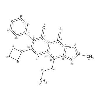 Cc1cc2c(=O)c3c(=O)n(-c4ccccc4)c(C4CCC4)nc3n(CCN)c2s1